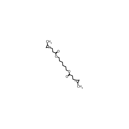 CC1CN1CCC(=O)OCCCCCCOC(=O)CCN1CC1C